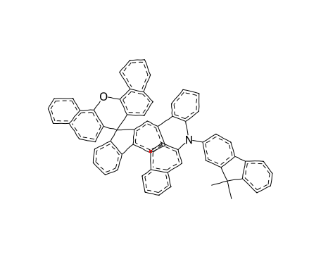 CC1(C)c2ccccc2-c2ccc(N(c3ccc4ccccc4c3)c3ccccc3-c3ccc4c(c3)C3(c5ccccc5-4)c4ccc5ccccc5c4Oc4c3ccc3ccccc43)cc21